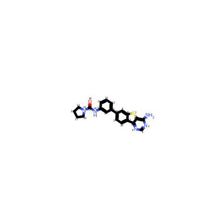 Nc1ncnc2c1sc1cc(-c3cccc(NC(=O)N4CCCC4)c3)ccc12